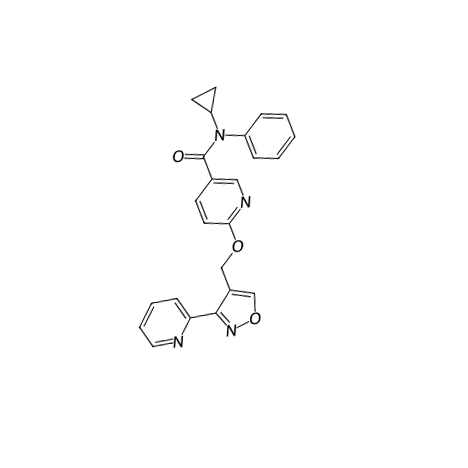 O=C(c1ccc(OCc2conc2-c2ccccn2)nc1)N(c1ccccc1)C1CC1